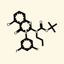 CCCN(C(=O)OC(C)(C)C)c1nc2cccc(Cl)c2c(=O)n1-c1cc(F)cc(F)c1